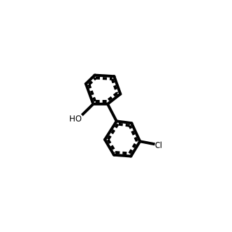 Oc1ccccc1-c1cccc(Cl)c1